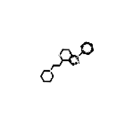 c1ccc(-n2ncc3c2CCOC3CCN2CCCCC2)cc1